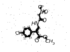 COC(=O)/C(=C/NC(=O)C[N+](=O)[O-])c1ccc(Cl)cc1